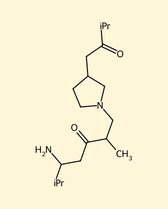 CC(C)C(=O)CC1CCN(CC(C)C(=O)CC(N)C(C)C)C1